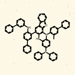 Cc1cc(-c2ccccc2)ccc1N1c2ccc(N(c3ccccc3)c3ccccc3)cc2Bc2c(-c3cc(-c4ccccc4)ccc3Nc3cccc(-c4ccccc4)c3)cc3c(oc4ccccc43)c21